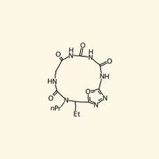 CCCN1C(=O)NCC(=O)NC(=O)NC(=O)Nc2nnc(o2)C1CC